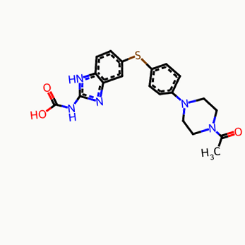 CC(=O)N1CCN(c2ccc(Sc3ccc4[nH]c(NC(=O)O)nc4c3)cc2)CC1